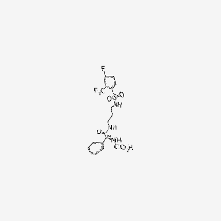 O=C(O)N[C@H](C(=O)NCCCNS(=O)(=O)c1ccc(F)cc1C(F)(F)F)c1ccccc1